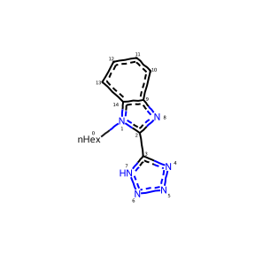 CCCCCCn1c(-c2nnn[nH]2)nc2ccccc21